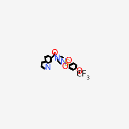 O=C(c1ccc2cccnc2c1)N1CCN(S(=O)(=O)c2ccc(OC(F)(F)F)cc2)CC1